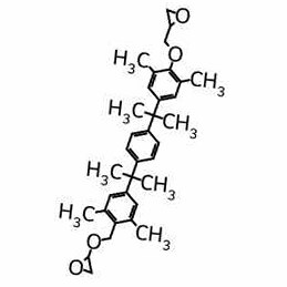 Cc1cc(C(C)(C)c2ccc(C(C)(C)c3cc(C)c(OCC4CO4)c(C)c3)cc2)cc(C)c1COC1CO1